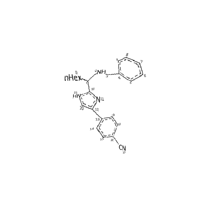 CCCCCCC(NCc1ccccc1)c1nc(-c2ccc(C#N)cc2)c[nH]1